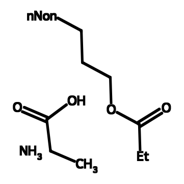 CCC(=O)O.CCCCCCCCCCCCOC(=O)CC.N